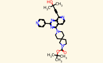 CC(C)(O)C#Cc1nccc2c(N3CCC4(CCN(C(=O)OC(C)(C)C)C4)CC3)nc(-c3ccncc3)nc12